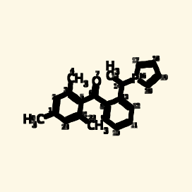 Cc1cc(C)c(C(=O)c2ccccc2C(C)p2cccc2)c(C)c1